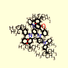 CC(C)(C)c1ccc2c(c1)B1c3ccc(N4c5ccc(C(C)(C)C)cc5C5(C)CCCCC45C)cc3N(c3cccc4oc5ccccc5c34)c3cc(N4c5ccc(C(C)(C)C)cc5C5(C)CCCCC45C)cc(c31)N2c1ccc(C(C)(C)C)cc1-c1ccccc1